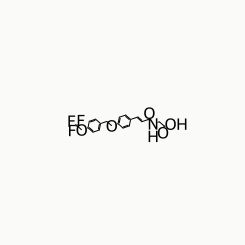 O=C(O)CNC(=O)C=Cc1ccc(OCc2ccc(OC(F)(F)F)cc2)cc1